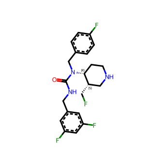 O=C(NCc1cc(F)cc(F)c1)N(Cc1ccc(F)cc1)[C@@H]1CCNC[C@@H]1CF